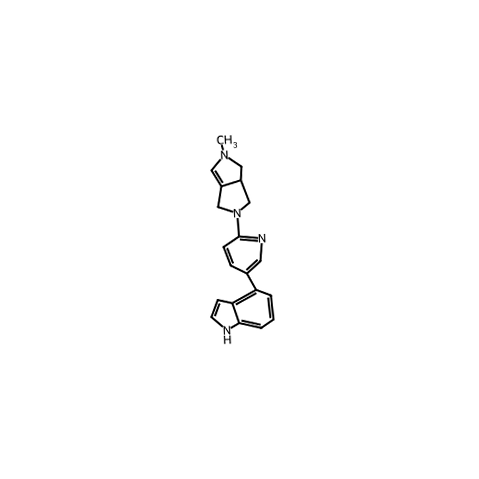 CN1C=C2CN(c3ccc(-c4cccc5[nH]ccc45)cn3)CC2C1